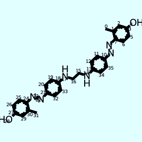 Cc1cc(O)ccc1/N=N/c1ccc(NCCNc2ccc(/N=N/c3ccc(O)cc3C)cc2)cc1